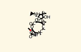 CC[C@H]1OC(=O)CC(=O)[C@H](C)[C@@H](O[C@@H]2O[C@H](CNC3CC3)CC(N(C)C)[C@H]2O)[C@](C)(OC)C[C@@H](C)CN(C)[C@H](C)[C@H]2N(C)C(=O)O[C@]12C